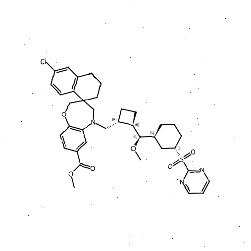 COC(=O)c1ccc2c(c1)N(C[C@@H]1CC[C@H]1[C@H](OC)[C@H]1CCC[C@H](S(=O)(=O)c3ncccn3)C1)CC1(CCCc3cc(Cl)ccc31)CO2